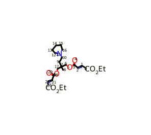 CCOC(=O)/C=C/C(=O)OCC(C)(CCN1CCCCC1)COC(=O)/C=C/C(=O)OCC